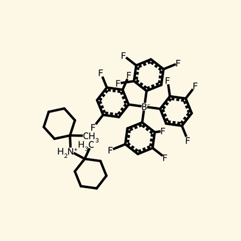 CC1([NH2+]C2(C)CCCCC2)CCCCC1.Fc1cc(F)c(F)c([B-](c2cc(F)cc(F)c2F)(c2cc(F)cc(F)c2F)c2cc(F)cc(F)c2F)c1